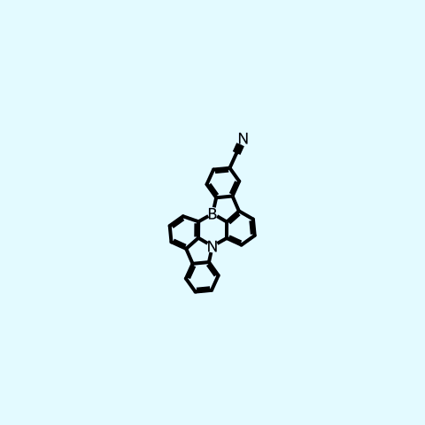 N#Cc1ccc2c(c1)-c1cccc3c1B2c1cccc2c4ccccc4n-3c12